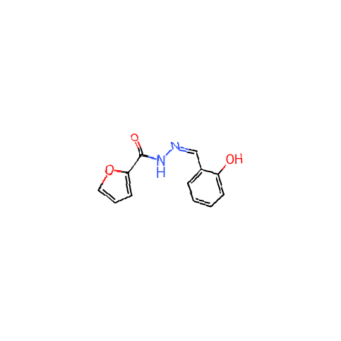 O=C(N/N=C\c1ccccc1O)c1ccco1